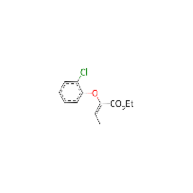 CC=C(Oc1ccccc1Cl)C(=O)OCC